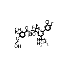 COc1cc(C(=O)NCC(O)(c2cc(C(C)(N)CF)cc(-c3ccc(F)c(Cl)c3)n2)C(F)(F)F)ccc1OCCO